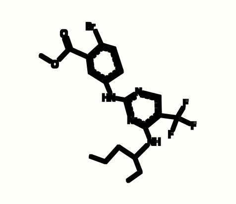 CCCC(CC)Nc1nc(Nc2ccc(Br)c(C(=O)OC)c2)ncc1C(F)(F)F